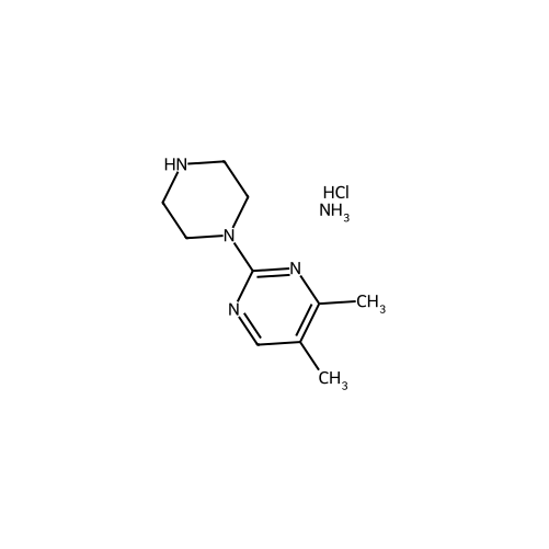 Cc1cnc(N2CCNCC2)nc1C.Cl.N